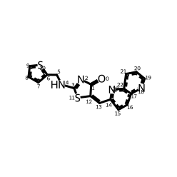 O=C1N=C(NCc2cccs2)SC1=Cc1ccc2ncccc2n1